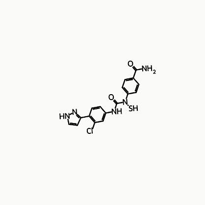 NC(=O)c1ccc(N(S)C(=O)Nc2ccc(-c3cc[nH]n3)c(Cl)c2)cc1